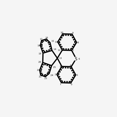 c1ccc2c(c1)Sc1ccccc1C21c2ccccc2-c2ccccc21